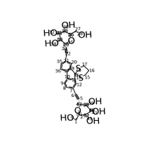 OC[C@H]1O[C@H](C#Cc2ccc3c(c2)C2(SCCCS2)c2cc(C#C[C@H]4O[C@H](CO)[C@@H](O)[C@H](O)[C@@H]4O)ccc2-3)[C@@H](O)[C@@H](O)[C@@H]1O